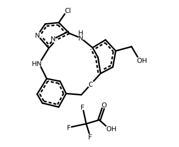 O=C(O)C(F)(F)F.OCc1cc2cc(c1)Nc1nc(ncc1Cl)Nc1cccc(c1)CC2